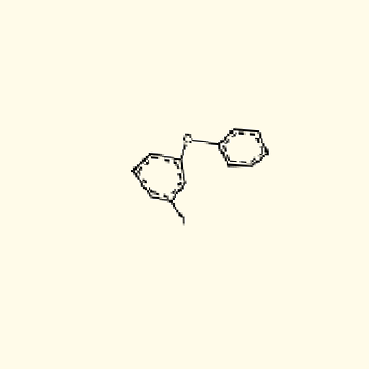 Ic1cccc(Oc2ccccc2)c1